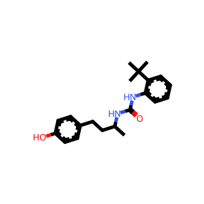 CC(CCc1ccc(O)cc1)NC(=O)Nc1ccccc1C(C)(C)C